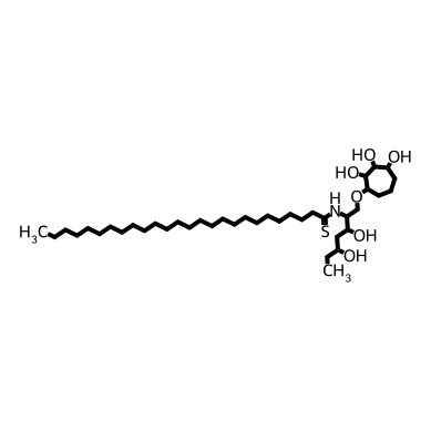 CCCCCCCCCCCCCCCCCCCCCCCCCC(=S)NC(COC1CCCC(O)C(O)C1O)C(O)CC(O)CC